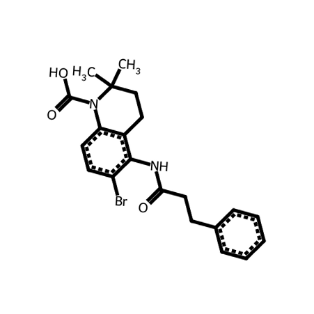 CC1(C)CCc2c(ccc(Br)c2NC(=O)CCc2ccccc2)N1C(=O)O